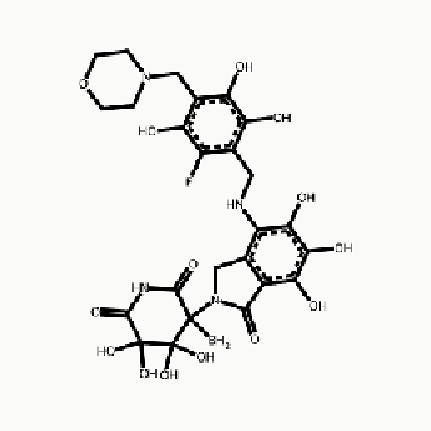 BC1(N2Cc3c(NCc4c(O)c(O)c(CN5CCOCC5)c(O)c4F)c(O)c(O)c(O)c3C2=O)C(=O)NC(=O)C(O)(O)C1(O)O